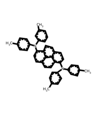 Cc1ccc(N(c2ccc(C)cc2)c2ccc3ccc4c(N(c5ccc(C)cc5)c5cccc(C)c5)ccc5ccc2c3c54)cc1